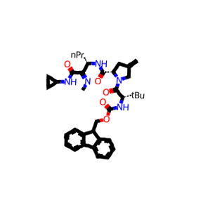 C=C1C[C@@H](C(=O)N[C@@H](CCC)/C(=N/C)C(=O)NC2CC2)N(C(=O)[C@@H](NC(=O)OCC2c3ccccc3-c3ccccc32)C(C)(C)C)C1